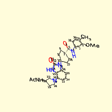 COc1cc(NC(=O)[C@H]2CC[C@@H](n3c(=O)[nH]c4c(N5CCC(NC(C)=O)C5)cccc43)CC2)ccc1C